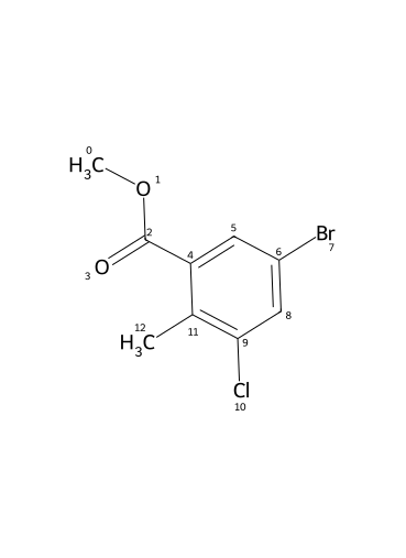 COC(=O)c1cc(Br)cc(Cl)c1C